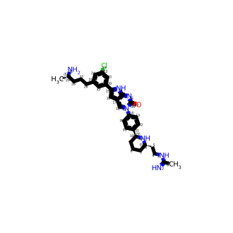 CC(=N)NCC[C@@H]1CCC[C@@H](c2ccc(-n3cc4cc(-c5cc(Cl)cc(CCC[C@H](C)N)c5)[nH]c4nc3=O)cc2)N1